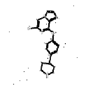 Brc1cn2ccnc2c(Nc2ccc(C3CCNCC3)cc2)n1